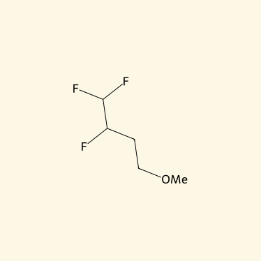 COCCC(F)C(F)F